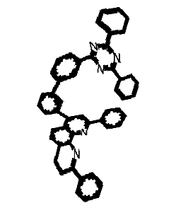 C1=CCCC(c2nc(-c3cccc(-c4cccc(-c5cc(-c6ccccc6)nc6c7c(ccc56)CCC(c5ccccc5)=N7)c4)c3)nc(C3C=CC=CC3)n2)=C1